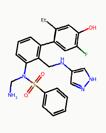 CCc1cc(O)c(F)cc1-c1cccc(N(CN)S(=O)(=O)c2ccccc2)c1CNc1cn[nH]c1